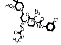 COC(=O)OC[C@H](CCN1CCC2(CC2)[C@H](O)C1)N1CCN(C(=O)Nc2cccc(Cl)c2)[C@@H](C)C1=O